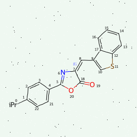 CC(C)c1ccc(C2=N/C(=C/c3csc4ccccc34)C(=O)O2)cc1